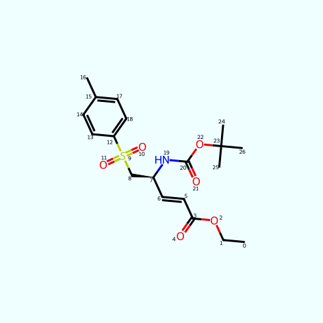 CCOC(=O)/C=C/[C@@H](CS(=O)(=O)c1ccc(C)cc1)NC(=O)OC(C)(C)C